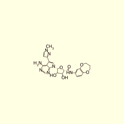 Cn1ccc(-c2cn([C@@H]3O[C@H](C(=O)Nc4ccc5c(c4)OCCCO5)[C@@H](O)[C@H]3O)c3ncnc(N)c23)n1